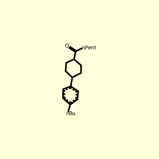 CCCCCC(=O)C1CCC(c2ccc(CCCC)cc2)CC1